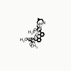 CNCc1ncc(-c2cccc(-c3cccc(-c4cnc(CNCC5CC5CC#N)c(OC)n4)c3Cl)c2Cl)nc1OC